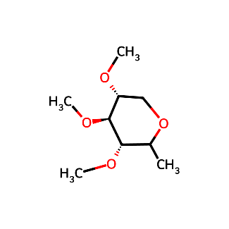 CO[C@H]1[C@H](OC)COC(C)[C@@H]1OC